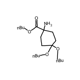 CCCCOC(=O)C1(N)CCC(OCCCC)(OCCCC)CC1